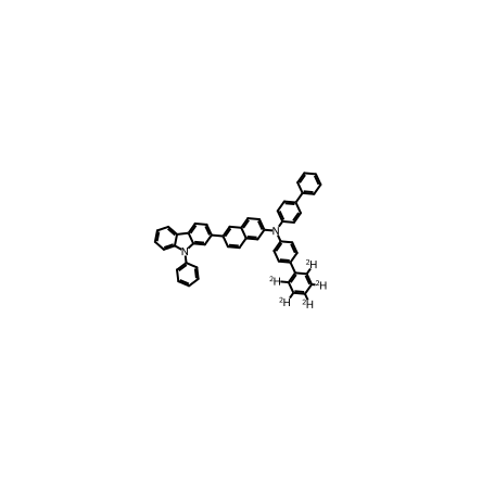 [2H]c1c([2H])c([2H])c(-c2ccc(N(c3ccc(-c4ccccc4)cc3)c3ccc4cc(-c5ccc6c7ccccc7n(-c7ccccc7)c6c5)ccc4c3)cc2)c([2H])c1[2H]